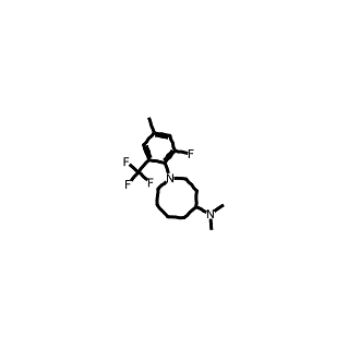 Cc1cc(F)c(N2CCCCC(N(C)C)CC2)c(C(F)(F)F)c1